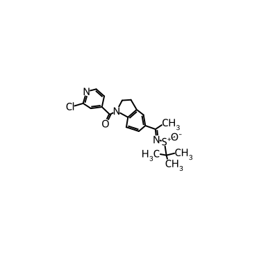 C/C(=N\[S@+]([O-])C(C)(C)C)c1ccc2c(c1)CCN2C(=O)c1ccnc(Cl)c1